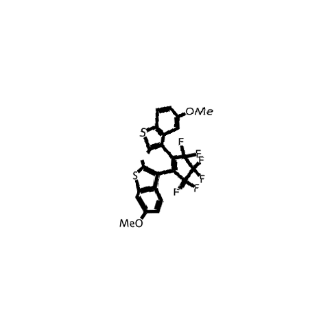 COc1ccc2c(C3=C(c4c(C)sc5ccc(OC)cc45)C(F)(F)C(F)(F)C3(F)F)c(C)sc2c1